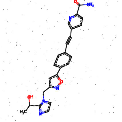 CC(O)c1nccn1Cc1cc(-c2ccc(C#Cc3ccc(C(N)=O)nc3)cc2)on1